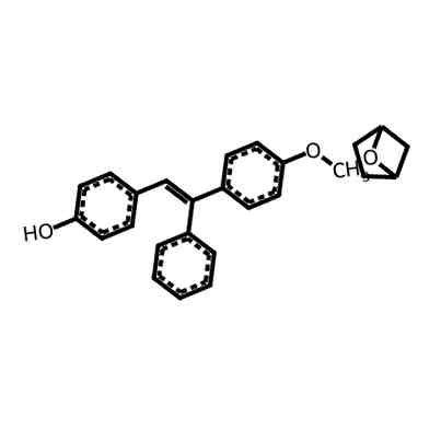 C1CC2CC1O2.COc1ccc(C(=Cc2ccc(O)cc2)c2ccccc2)cc1